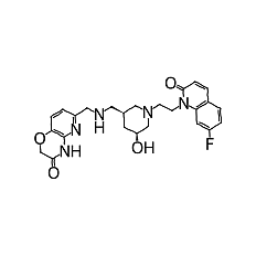 O=C1COc2ccc(CNC[C@@H]3C[C@H](O)CN(CCn4c(=O)ccc5ccc(F)cc54)C3)nc2N1